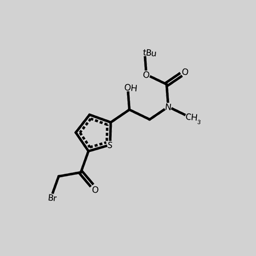 CN(CC(O)c1ccc(C(=O)CBr)s1)C(=O)OC(C)(C)C